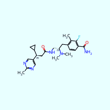 Cc1ncc([C@H](CC(=O)NC[C@H](Cc2ccc(C(N)=O)c(F)c2C)N(C)C)C2CC2)cn1